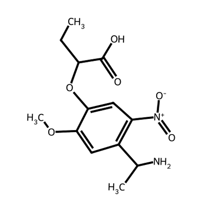 CCC(Oc1cc([N+](=O)[O-])c(C(C)N)cc1OC)C(=O)O